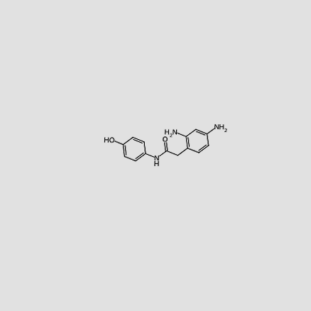 Nc1ccc(CC(=O)Nc2ccc(O)cc2)c(N)c1